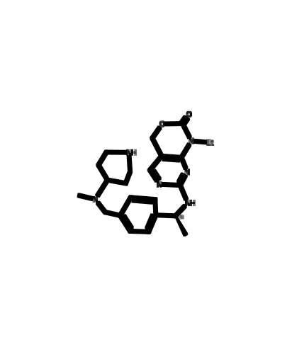 CCN1C(=O)OCc2cnc(N[C@@H](C)c3ccc(CN(C)C4CCNCC4)cc3)nc21